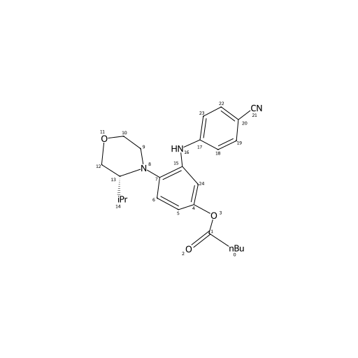 CCCCC(=O)Oc1ccc(N2CCOC[C@H]2C(C)C)c(Nc2ccc(C#N)cc2)c1